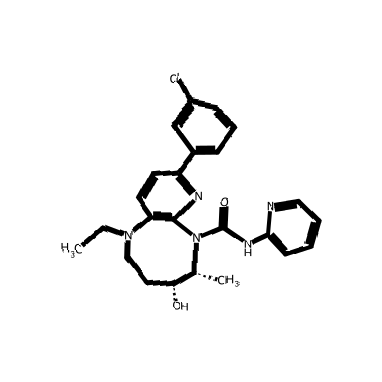 CCN1CC[C@@H](O)[C@@H](C)N(C(=O)Nc2ccccn2)c2nc(-c3cccc(Cl)c3)ccc21